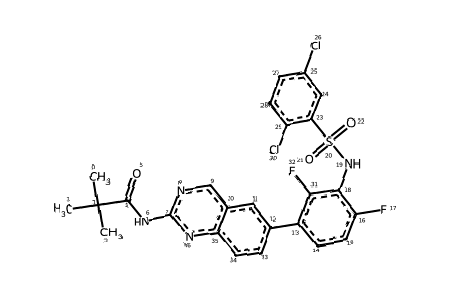 CC(C)(C)C(=O)Nc1ncc2cc(-c3ccc(F)c(NS(=O)(=O)c4cc(Cl)ccc4Cl)c3F)ccc2n1